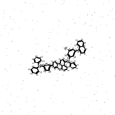 Fc1cc(-c2cccc3ccccc23)cc(N(c2ccccc2)c2ccc3c4c(cccc24)Sc2cc(-c4ccc(N(c5ccccc5)c5ccccc5)s4)ccc2-3)c1